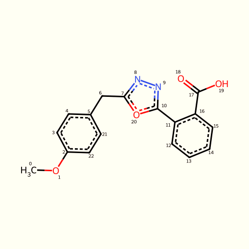 COc1ccc(Cc2nnc(-c3ccccc3C(=O)O)o2)cc1